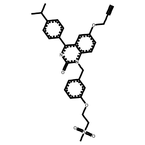 C#CCOc1ccc2c(c1)c(-c1ccc(C(C)C)cc1)nc(=O)n2Cc1cccc(OCCS(C)(=O)=O)c1